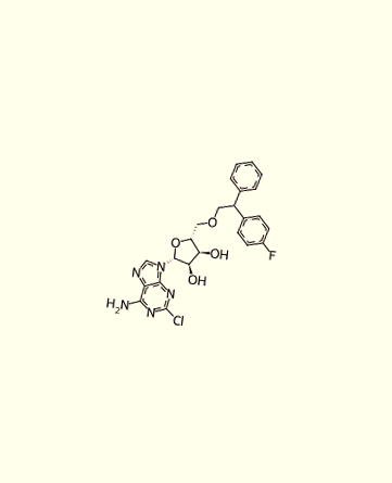 Nc1nc(Cl)nc2c1ncn2[C@@H]1O[C@H](COCC(c2ccccc2)c2ccc(F)cc2)[C@@H](O)[C@H]1O